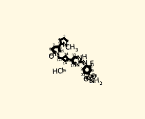 CN1CCCC1c1ccc(=O)n(CC2CC(c3cnc(Nc4ccc(S(N)(=O)=O)cc4F)nc3)C2)c1.Cl